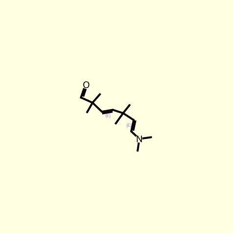 CN(C)/C=C/C(C)(C)/C=C/C(C)(C)C=O